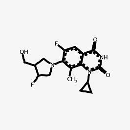 Cc1c(N2CC(F)C(CO)C2)c(F)cc2c(=O)[nH]c(=O)n(C3CC3)c12